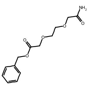 NC(=O)COCCOCC(=O)OCc1ccccc1